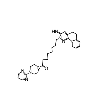 N=c1cc2c(nn1CCCCCCCC(=O)N1CCN(c3ncccn3)CC1)-c1ccccc1CC2